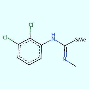 CN=C(Nc1cccc(Cl)c1Cl)SC